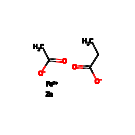 CC(=O)[O-].CCC(=O)[O-].[Fe+2].[Zn]